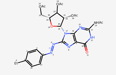 CCc1ccc(/N=N/c2nc3c(=O)[nH]c(NC(C)=O)nc3n2[C@@H]2O[C@H](COC(C)=O)C(OC(C)=O)[C@@H]2OC(C)=O)cc1